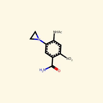 CC(=O)Nc1cc([N+](=O)[O-])c(C(N)=O)cc1N1CC1